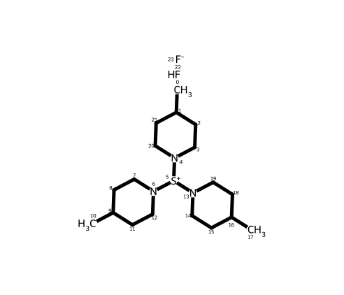 CC1CCN([S+](N2CCC(C)CC2)N2CCC(C)CC2)CC1.F.[F-]